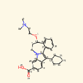 CN(C)CCOC1CCn2c(c(C3CCCCC3)c3ccc(C(=O)O)cc32)-c2ccccc21